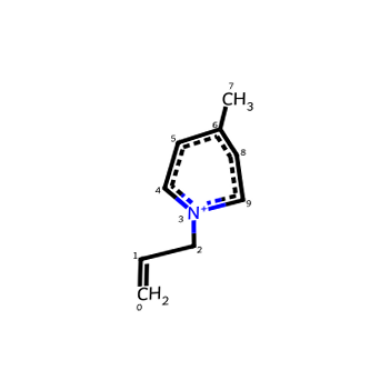 C=CC[n+]1ccc(C)cc1